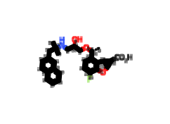 C[C@@H](OC[C@H](O)CNC(C)(C)Cc1ccc2ccccc2c1)c1ccc(F)c2c1C1C(O2)C1C(=O)O